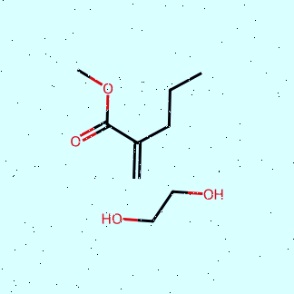 C=C(CCC)C(=O)OC.OCCO